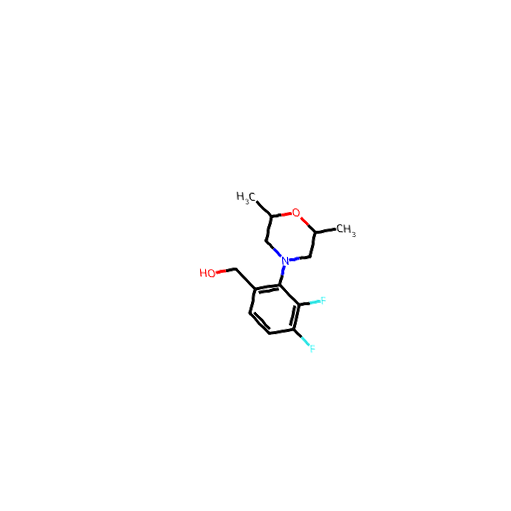 CC1CN(c2c(CO)ccc(F)c2F)CC(C)O1